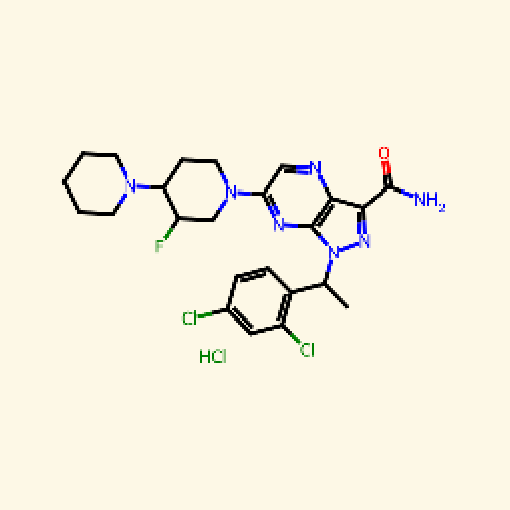 CC(c1ccc(Cl)cc1Cl)n1nc(C(N)=O)c2ncc(N3CCC(N4CCCCC4)C(F)C3)nc21.Cl